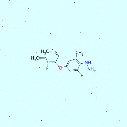 C=C/C(F)=C(\C=C/C)Oc1cc(C)c(NN)c(F)c1